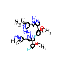 COc1ccc(F)cc1-c1ccnc2[nH]c(C3=CCN[C@H](C)C3)cc12.COc1ccc(F)cc1-c1ccnc2[nH]c(C3=C[C@@H](C)NCC3)cc12